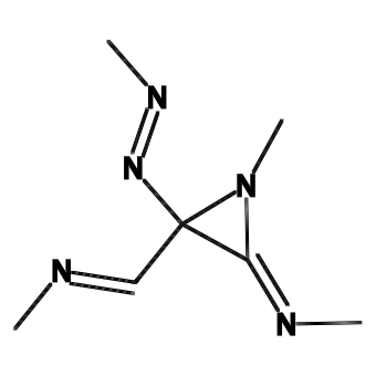 CN=CC1(N=NC)C(=NC)N1C